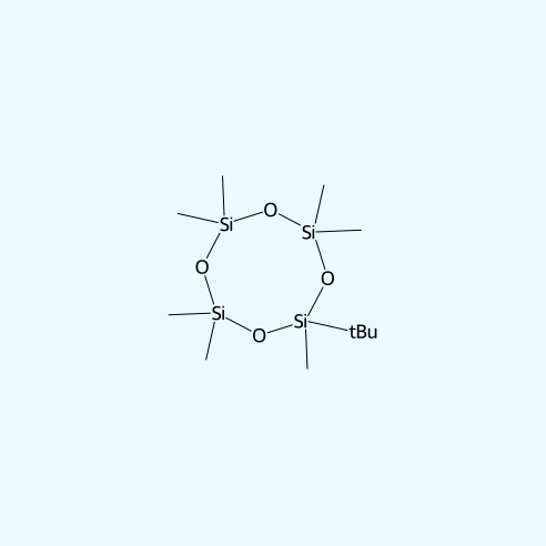 CC(C)(C)[Si]1(C)O[Si](C)(C)O[Si](C)(C)O[Si](C)(C)O1